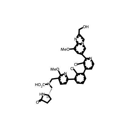 COc1nc(-c2cccc(-c3ccnc(-c4cc(OC)c5nc(CO)cn5c4)c3Cl)c2Cl)ccc1CN(C[C@@H]1CCC(=O)N1)C(=O)O